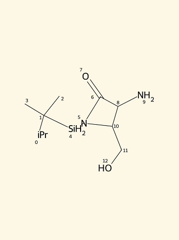 CC(C)C(C)(C)[SiH2]N1C(=O)C(N)C1CO